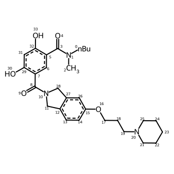 CCCCN(C)C(=O)c1cc(C(=O)N2Cc3ccc(OCCCN4CCCCC4)cc3C2)c(O)cc1O